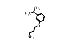 CN(C)c1cccc(OCCCN)c1